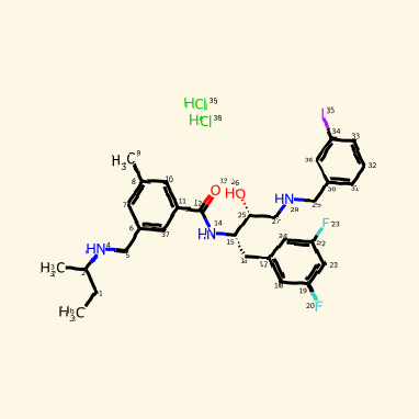 CCC(C)NCc1cc(C)cc(C(=O)N[C@@H](Cc2cc(F)cc(F)c2)[C@H](O)CNCc2cccc(I)c2)c1.Cl.Cl